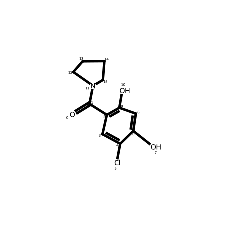 O=C(c1cc(Cl)c(O)cc1O)N1CCCC1